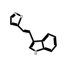 C(=C\c1c[nH]c2ccccc12)/c1ccno1